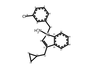 N[N+]1(Cc2cccc(Cl)c2)C=C(CC2CC2)c2ccccc21